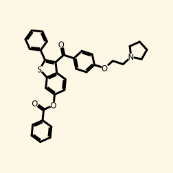 O=C(Oc1ccc2c(C(=O)c3ccc(OCCN4CCCC4)cc3)c(-c3ccccc3)sc2c1)c1ccccc1